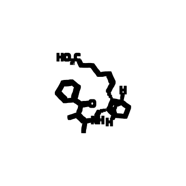 CC(NC[C@@H]1[C@H](C/C=C\CCCC(=O)O)[C@@H]2CC[C@H]1O2)=C(C)C(=O)c1ccccc1